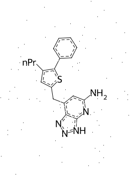 CCCc1cc(Cc2cc(N)nc3[nH]nnc23)sc1-c1ccccc1